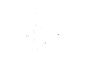 COc1cc(Nc2cc(CO)[nH]n2)nc(N[C@H]2C[C@@H](C)CC[C@@H](N(C)C)C2)n1